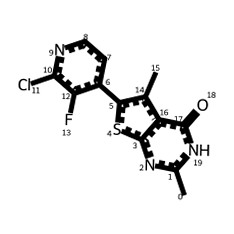 Cc1nc2sc(-c3ccnc(Cl)c3F)c(C)c2c(=O)[nH]1